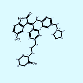 O=C1Nc2ccc([N+](=O)[O-])cc2/C1=C(/Nc1ccc(CN2CCCC2)cc1)c1ccc(CCCN2CCCCC2=O)cc1